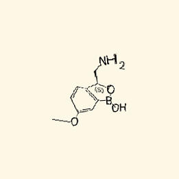 COc1ccc2c(c1)B(O)O[C@@H]2CN